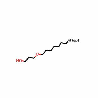 CCCCCCCCCCCCCCOCCCO